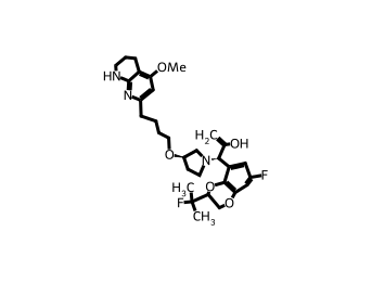 C=C(O)[C@H](c1cc(F)cc2c1OC(C(C)(C)F)CO2)N1CC[C@@H](OCCCCc2cc(OC)c3c(n2)NCCC3)C1